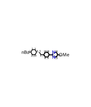 CCCC[C@H]1CC[C@H](CCc2ccc(-c3ncc(OC)cn3)cc2)CC1